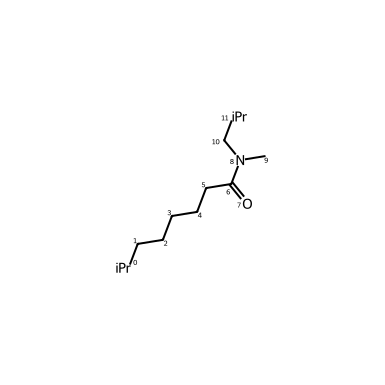 CC(C)CCCCCC(=O)N(C)CC(C)C